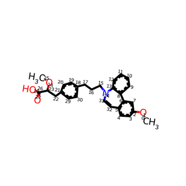 COc1ccc2c(c1)-c1ccccc1N(CCCc1ccc(CC(OC)C(=O)O)cc1)C=C2